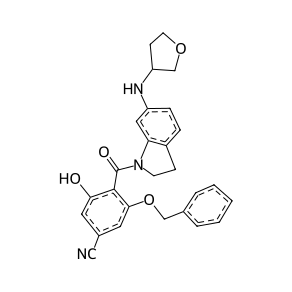 N#Cc1cc(O)c(C(=O)N2CCc3ccc(NC4CCOC4)cc32)c(OCc2ccccc2)c1